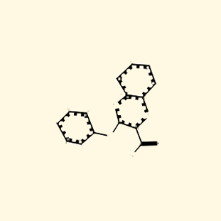 NC(=O)c1nc2ccccc2nc1Oc1ccccc1